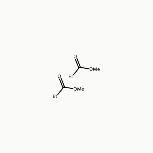 CCC(=O)OC.CCC(=O)OC